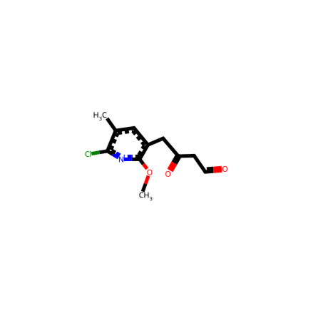 COc1nc(Cl)c(C)cc1CC(=O)CC=O